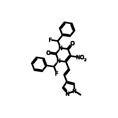 Cn1cc(C=Cc2c([N+](=O)[O-])c(=O)n(C(F)c3ccccc3)c(=O)n2C(F)c2ccccc2)cn1